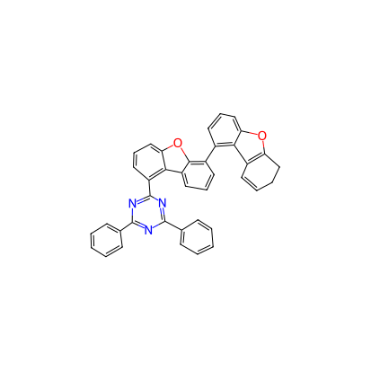 C1=Cc2c(oc3cccc(-c4cccc5c4oc4cccc(-c6nc(-c7ccccc7)nc(-c7ccccc7)n6)c45)c23)CC1